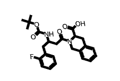 CC(C)(C)OC(=O)NC(CC(=O)N1Cc2ccccc2CC1C(=O)O)Cc1ccccc1F